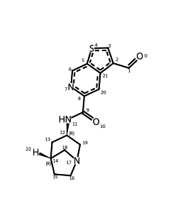 O=Cc1csc2cnc(C(=O)N[C@@H]3C[C@H]4CCN(C4)C3)cc12